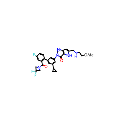 COCCNCc1cc2ncn(-c3cc(-c4ccc(F)cc4C(=O)N4CC(F)(F)C4)cc(C4CC4)c3)c(=O)c2[nH]1